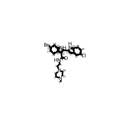 CN1CCN(CCNC(=O)c2c(-c3cc4cc(Cl)ccc4[nH]3)[nH]c3cc(Br)ccc23)CC1